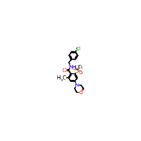 CCS(=O)(=O)c1cc(N2CCOCC2)cc(C)c1C(=O)NCc1ccc(Cl)cc1